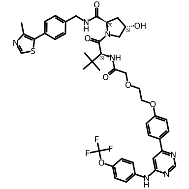 Cc1ncsc1-c1ccc(CNC(=O)[C@H]2C[C@H](O)CN2C(=O)[C@@H](NC(=O)COCCOc2ccc(-c3cc(Nc4ccc(OC(F)(F)F)cc4)ncn3)cc2)C(C)(C)C)cc1